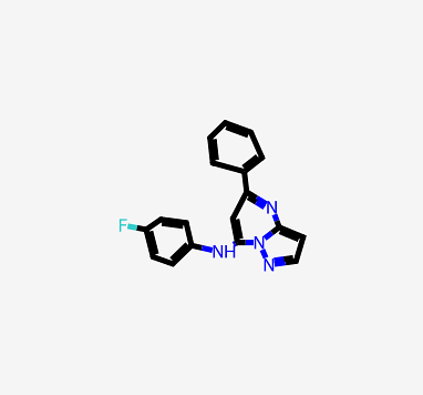 Fc1ccc(Nc2cc(-c3ccccc3)nc3ccnn23)cc1